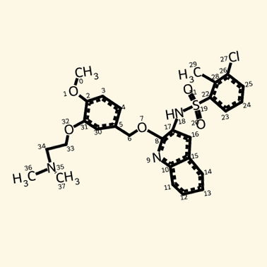 COc1ccc(COc2nc3ccccc3cc2NS(=O)(=O)c2cccc(Cl)c2C)cc1OCCN(C)C